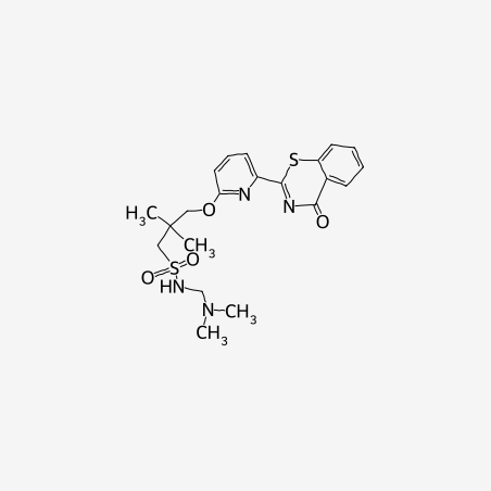 CN(C)CNS(=O)(=O)CC(C)(C)COc1cccc(-c2nc(=O)c3ccccc3s2)n1